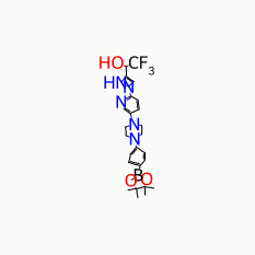 CC1(C)OB(c2ccc(N3CCN(c4ccc(-n5cc(C(O)C(F)(F)F)[nH]5)nc4)CC3)cc2)OC1(C)C